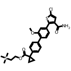 COc1cc(-c2sc(Cl)cc2C(N)=O)ccc1-c1ccc(C2(C(=O)OCCS(C)(C)C)CC2)cc1